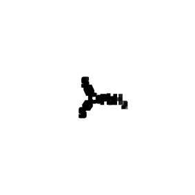 [PbH2].[S]=[Co]=[S]